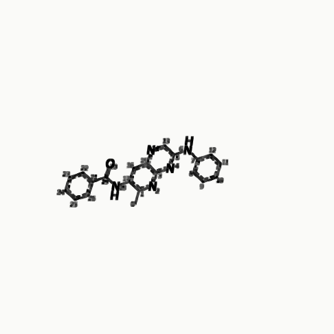 Cc1nc2nc(Nc3ccccc3)cnc2cc1NC(=O)c1ccccc1